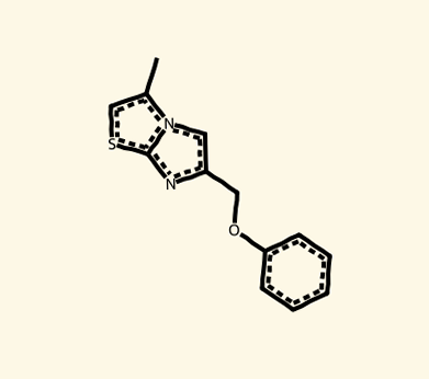 Cc1csc2nc(COc3ccccc3)cn12